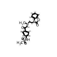 CN(CCn1c(=O)oc2ccccc21)CC(=O)c1ccc(NS(C)(=O)=O)cc1